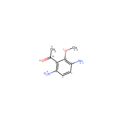 COc1c(N)ccc(N)c1C(C)=O